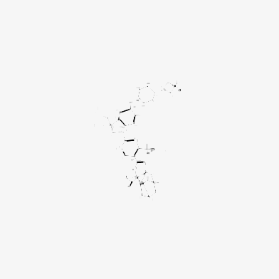 CCC1(CC)CN(c2ncc(C(=O)NC3(C(=O)O)C4CC5CC(C4)CC3C5)c(C(C)(F)F)n2)c2ccc(O[C@H]3CC[C@@H](N4CC(F)(F)C4)CC3)cc21